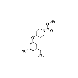 CN(C)Cc1cc(C#N)cc(OC2CCN(C(=O)OC(C)(C)C)CC2)c1